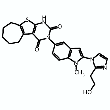 Cn1c(-n2ccnc2CCO)cc2cc(-n3c(=O)[nH]c4sc5c(c4c3=O)CCCCC5)ccc21